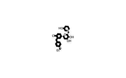 CCOc1ccc(Cc2cc([C@H]3C[C@@H](O)[C@H](O)[C@@H](CN4CCCC(O)C4)O3)ccc2Cl)cc1